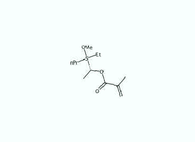 C=C(C)C(=O)OC(C)[Si](CC)(CCC)OC